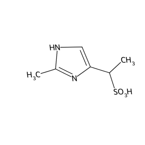 Cc1nc(C(C)S(=O)(=O)O)c[nH]1